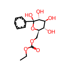 CCOC(=O)OC[C@H]1O[C@](O)(c2ccccc2)[C@H](O)[C@@H](O)[C@@H]1O